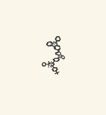 CC(C)(C)c1ccc(-c2cc(-c3ccc(-n4c5ccccc5c5cc(-c6ccc7c(c6)c6ccccc6n7-c6ccccc6)ccc54)cc3)nc(-c3ccccc3)n2)cc1